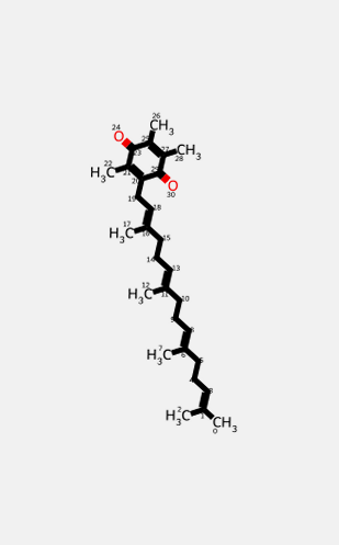 CC(C)=CCC/C(C)=C/CC/C(C)=C/CC/C(C)=C/CC1=C(C)C(=O)C(C)=C(C)C1=O